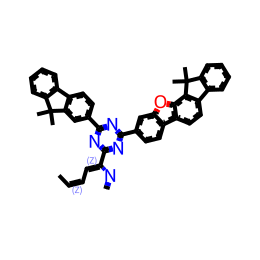 C=N/C(=C\C=C/C)c1nc(-c2ccc3c(c2)C(C)(C)c2ccccc2-3)nc(-c2ccc3c(c2)oc2c4c(ccc23)-c2ccccc2C4(C)C)n1